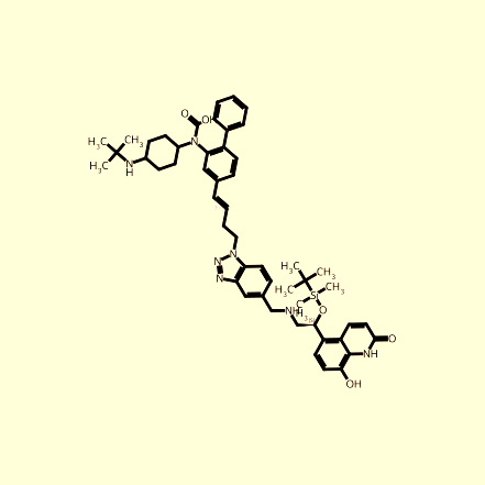 CC(C)(C)NC1CCC(N(C(=O)O)c2cc(/C=C/CCn3nnc4cc(CNC[C@@H](O[Si](C)(C)C(C)(C)C)c5ccc(O)c6[nH]c(=O)ccc56)ccc43)ccc2-c2ccccc2)CC1